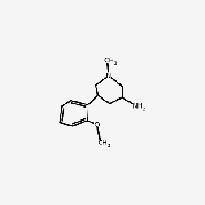 COc1ccccc1C1CC(N)CN(C)C1